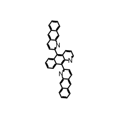 c1ccc2cc3nc(-c4c5ccccc5c(-c5ccc6cc7ccccc7cc6n5)c5ncccc45)ccc3cc2c1